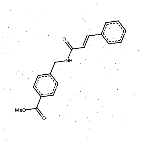 COC(=O)c1ccc(CNC(=O)/C=C/c2ccccc2)cc1